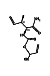 C=CC(OC(=O)N[C@H](C(N)=O)[C@H](C)C=C)C(C)(C)C